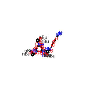 CCCCOc1cccc(C(=O)N[C@H]2COC(=O)[C@@H](NC(=O)c3cccc(OCCCC)c3OCCCC)COC(=O)[C@@H](NC(=O)c3cc(C(=O)NCCOCCOCCOCCN=[N+]=[N-])cc(OCCCC)c3OCCCC)COC2=O)c1OCCCC